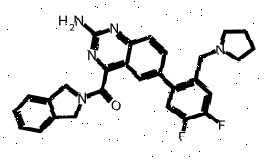 Nc1nc(C(=O)N2Cc3ccccc3C2)c2cc(-c3cc(F)c(F)cc3CN3CCCC3)ccc2n1